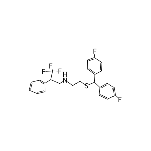 Fc1ccc(C(SCCNCC(c2ccccc2)C(F)(F)F)c2ccc(F)cc2)cc1